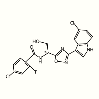 O=C(N[C@@H](CO)c1nc(-c2c[nH]c3ccc(Cl)cc23)no1)c1ccc(Cl)cc1F